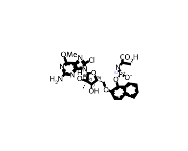 COc1nc(N)nc2c1nc(Cl)n2[C@@H]1O[C@H](COc2ccc3ccccc3c2O/[P+]([O-])=N/C(C)C(=O)O)[C@@H](O)[C@@]1(C)O